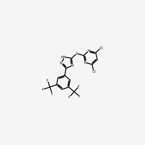 FC(F)(F)c1cc(-c2n[nH]c(Sc3nc(Cl)cc(Cl)n3)n2)cc(C(F)(F)F)c1